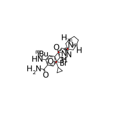 CC[C@@H](C)Nc1cc(C(=O)N[C@H]2C[C@H]3CC[C@@H](C2)N3c2ccc(C(=O)C3CC3)cn2)c(Br)cc1C(N)=O